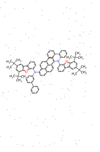 CC(C)(C)c1cc(C(C)(C)C)c2oc3c(N(c4cccc(-c5ccccc5)c4)c4ccc5ccc6c(N(c7ccccc7-c7ccccc7)c7cccc8c7oc7c(C(C)(C)C)cc(C(C)(C)C)cc78)ccc7ccc4c5c76)cccc3c2c1